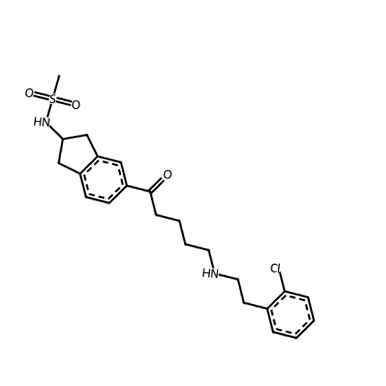 CS(=O)(=O)NC1Cc2ccc(C(=O)CCCCNCCc3ccccc3Cl)cc2C1